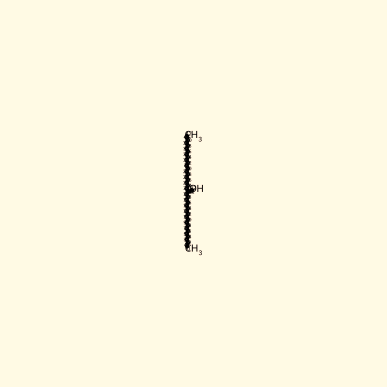 CCCCCCCCCCCCCCCCCCCCC(CO)CCCCCCCCCCCCCCCCCCCC